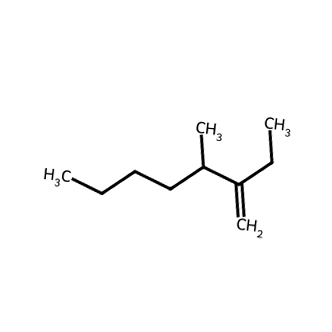 C=C(CC)C(C)CCCC